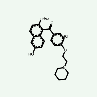 CCCCCCc1ccc2cc(O)ccc2c1C(=O)c1ccc(OCCN2CCCCC2)cc1.Cl